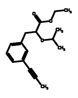 CC#Cc1cccc(CC(OC(C)C)C(=O)OCC)c1